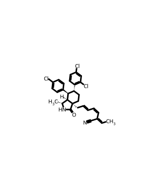 C\C=C(C#N)/C=C\C=C\C[C@@]12CC[C@@H](c3ccc(Cl)cc3Cl)[C@H](c3ccc(Cl)cc3)[C@@H]1[C@@H](C)NC2=O